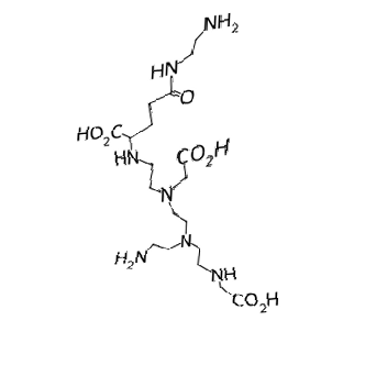 NCCNC(=O)CCC(NCCN(CCN(CCN)CCNCC(=O)O)CC(=O)O)C(=O)O